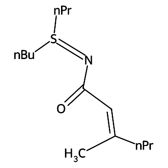 CCCC/S(CCC)=N\C(=O)/C=C(\C)CCC